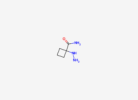 NNC1(C(N)=O)CCC1